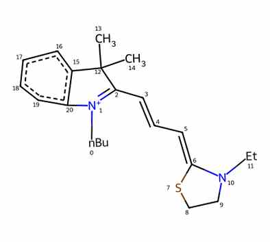 CCCC[N+]1=C(/C=C/C=C2\SCCN2CC)C(C)(C)c2ccccc21